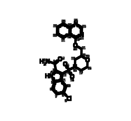 NC(=O)c1[nH]c2ccc(Cl)cc2c1S(=O)(=O)N1CCOC(COc2ncnc3ccccc23)C1